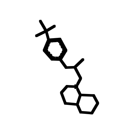 CC(Cc1ccc(C(C)(C)C)cc1)CN1CCCC2CCCCC21